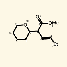 CCC=CC(C(=O)OC)C1CCCCO1